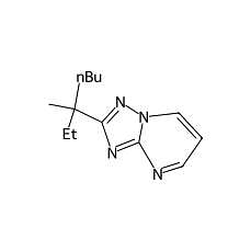 CCCCC(C)(CC)c1nc2ncccn2n1